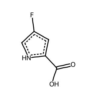 O=C(O)c1cc(F)c[nH]1